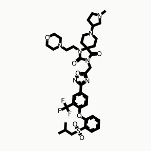 CC(C)CS(=O)(=O)c1ccccc1Oc1ccc(-c2noc(CN3C(=O)N(CCN4CCOCC4)C4(CCN(C5CCN(C)C5)CC4)C3=O)n2)cc1C(F)(F)F